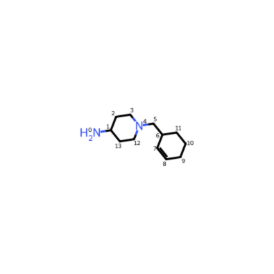 NC1CCN(CC2C=CCCC2)CC1